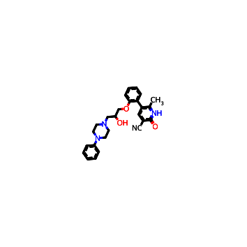 Cc1[nH]c(=O)c(C#N)cc1-c1ccccc1OCC(O)CN1CCN(c2ccccc2)CC1